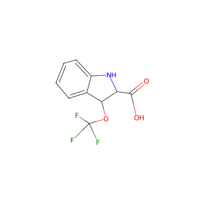 O=C(O)C1Nc2ccccc2C1OC(F)(F)F